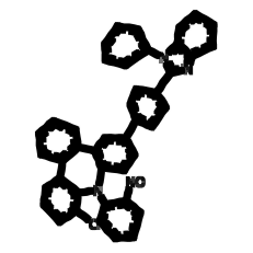 O=Nc1ccccc1N1c2ccc(-c3ccc(-c4nc5ccccc5n4-c4ccccc4)cc3)cc2-c2ccccc2-c2cccc(Cl)c21